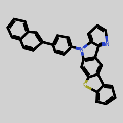 c1ccc2cc(-c3ccc(-n4c5cc6sc7ccccc7c6cc5c5ncccc54)cc3)ccc2c1